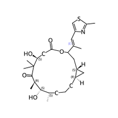 C/C(=C\c1csc(C)n1)C1C[C@@H]2C[C@H]2CCC[C@H](C)[C@H](O)[C@@H](C)C(=O)C(C)(C)[C@@H](O)CC(=O)O1